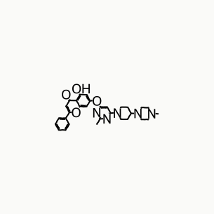 Cc1nc(Oc2cc(O)c3c(=O)cc(-c4ccccc4)oc3c2)cc(N2CCC(N3CCN(C)CC3)CC2)n1